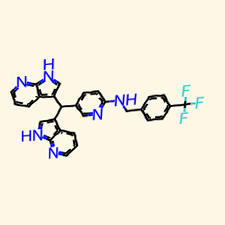 FC(F)(F)c1ccc(CNc2ccc(C(c3c[nH]c4ncccc34)c3c[nH]c4ncccc34)cn2)cc1